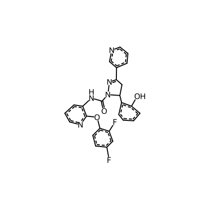 O=C(Nc1cccnc1Oc1ccc(F)cc1F)N1N=C(c2cccnc2)CC1c1ccccc1O